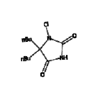 CCCCC1(CCCC)C(=O)NC(=O)N1Cl